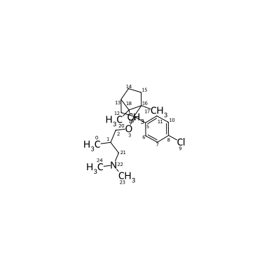 CC(COC1(c2ccc(Cl)cc2)CC2CCC1(C)C2(C)C)CN(C)C